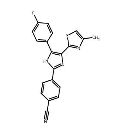 Cc1csc(-c2nc(-c3ccc(C#N)cc3)[nH]c2-c2ccc(F)cc2)n1